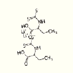 CCC(NC(=S)[S-])C(=O)O.CCC(NC(=S)[S-])C(=O)O.[Li+].[Li+]